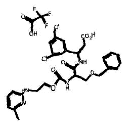 Cc1cccc(NCCOC(=O)NC(COCc2ccccc2)C(=O)NC(CC(=O)O)c2cc(Cl)cc(Cl)c2)n1.O=C(O)C(F)(F)F